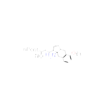 CCCCCC(CCC1CCC2Cc3c(cccc3OCC)CC12N)N=O